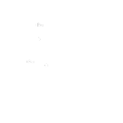 CC(C)(C)Oc1c(SC(C)(C)C)ccc2ccc3c(c12)CCCC3